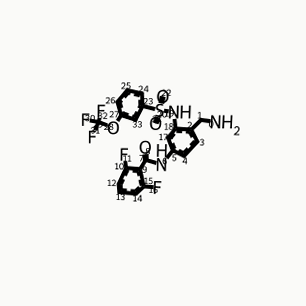 NCc1ccc(NC(=O)c2c(F)cccc2F)cc1NS(=O)(=O)c1cccc(OC(F)(F)F)c1